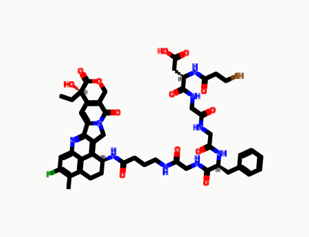 CC[C@@]1(O)C(=O)OCc2c1cc1n(c2=O)Cc2c-1nc1cc(F)c(C)c3c1c2[C@@H](NC(=O)CCCNC(=O)CNC(=O)[C@H](Cc1ccccc1)NC(=O)CNC(=O)CNC(=O)[C@H](CC(=O)O)NC(=O)CCS)CC3